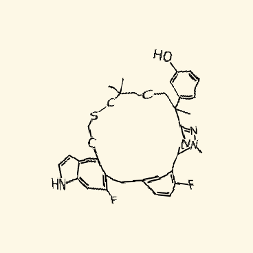 Cn1nc2nc1-c1cc(ccc1F)Cc1c(F)cc3[nH]ccc3c1CCSCC(C)(C)CCCC2(C)c1cccc(O)c1